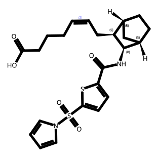 O=C(O)CCC/C=C\C[C@H]1[C@@H]2CC[C@@H](C2)[C@H]1NC(=O)c1ccc(S(=O)(=O)n2cccc2)s1